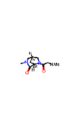 CNCC(=O)N1C[C@@H]2C[C@H]1C(=O)N(C)C2